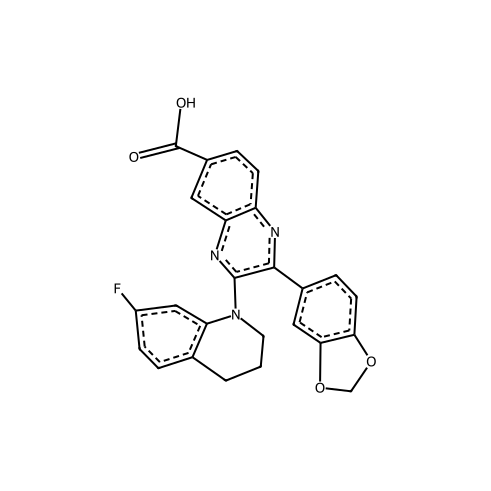 O=C(O)c1ccc2nc(-c3ccc4c(c3)OCO4)c(N3CCCc4ccc(F)cc43)nc2c1